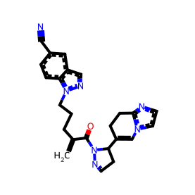 C=C(CCCn1ncc2cc(C#N)ccc21)C(=O)N1N=CCC1C1=Cn2ccnc2CC1